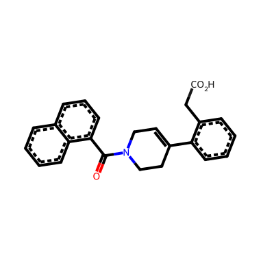 O=C(O)Cc1ccccc1C1=CCN(C(=O)c2cccc3ccccc23)CC1